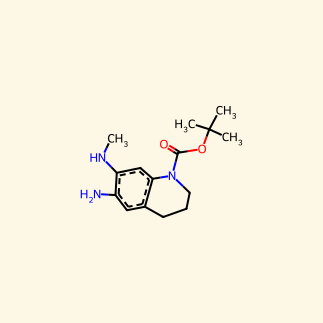 CNc1cc2c(cc1N)CCCN2C(=O)OC(C)(C)C